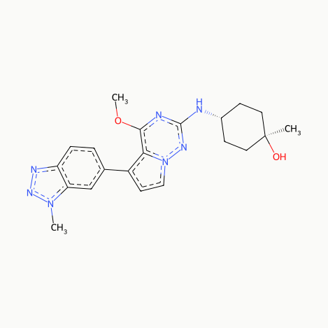 COc1nc(N[C@H]2CC[C@](C)(O)CC2)nn2ccc(-c3ccc4nnn(C)c4c3)c12